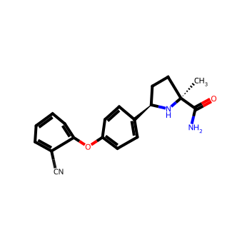 C[C@@]1(C(N)=O)CC[C@H](c2ccc(Oc3ccccc3C#N)cc2)N1